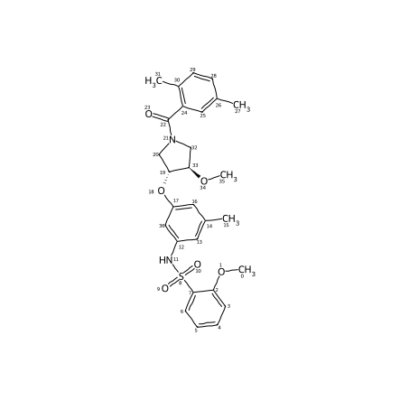 COc1ccccc1S(=O)(=O)Nc1cc(C)cc(O[C@@H]2CN(C(=O)c3cc(C)ccc3C)C[C@H]2OC)c1